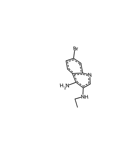 CCNc1cnc2cc(Br)ccc2c1N